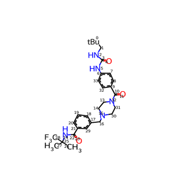 CC(C)(C)CNC(=O)Nc1ccc(C(=O)N2CCN(Cc3cccc(C(=O)NC(C)(C)C(F)(F)F)c3)CC2)cc1